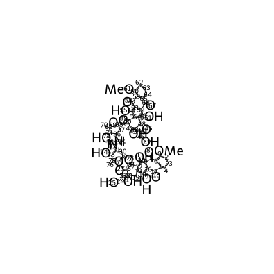 COc1cccc2c1C(=O)c1c(O)c3c(c(O)c1C2=O)C[C@@](O)(C(=O)CO)C[C@@H]3OC1CC(N(I)N(I)C2CC(O[C@H]3C[C@](O)(C(=O)CO)Cc4c(O)c5c(c(O)c43)C(=O)c3c(OC)cccc3C5=O)OC(C)C2O)C(O)C(C)O1